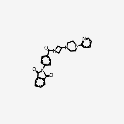 O=C(c1ccc(N2C(=O)c3ccccc3C2=O)cc1)N1CC(N2CCN(c3ccccn3)CC2)C1